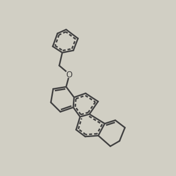 C1=C(OCc2ccccc2)c2ccc3c4c(ccc3c2=CC1)CCCC=4